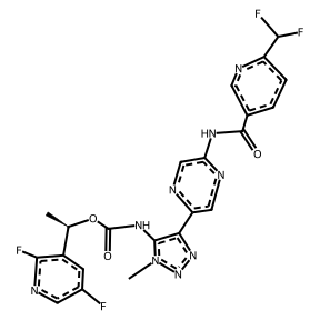 C[C@@H](OC(=O)Nc1c(-c2cnc(NC(=O)c3ccc(C(F)F)nc3)cn2)nnn1C)c1cc(F)cnc1F